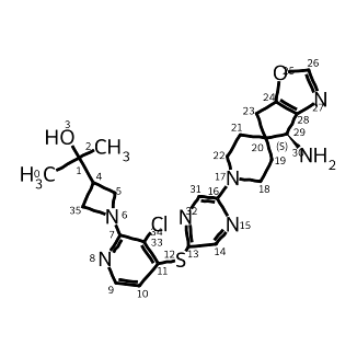 CC(C)(O)C1CN(c2nccc(Sc3cnc(N4CCC5(CC4)Cc4ocnc4[C@H]5N)cn3)c2Cl)C1